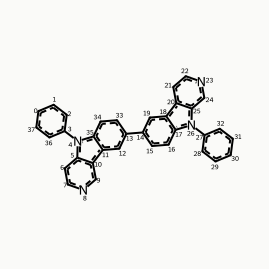 c1ccc(-n2c3ccncc3c3cc(-c4ccc5c(c4)c4ccncc4n5-c4ccccc4)ccc32)cc1